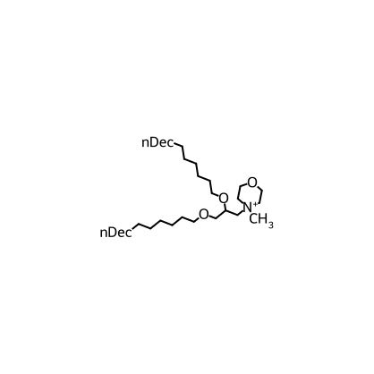 CCCCCCCCCCCCCCCCOCC(C[N+]1(C)CCOCC1)OCCCCCCCCCCCCCCCC